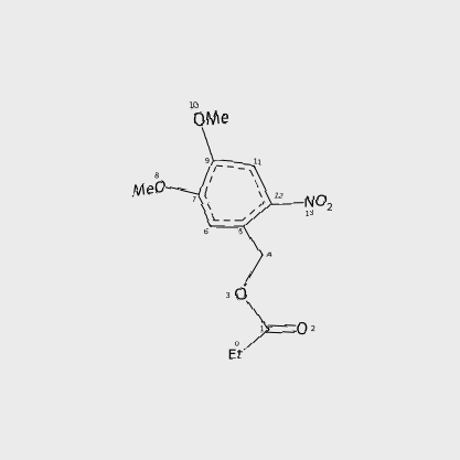 CCC(=O)OCc1cc(OC)c(OC)cc1[N+](=O)[O-]